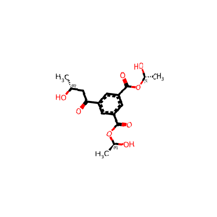 C[C@H](O)OC(=O)c1cc(C(=O)C[C@@H](C)O)cc(C(=O)O[C@@H](C)O)c1